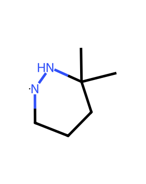 CC1(C)CCC[N]N1